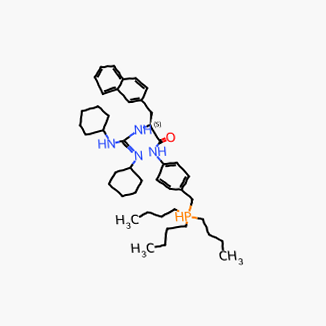 CCCC[PH](CCCC)(CCCC)Cc1ccc(NC(=O)[C@H](Cc2ccc3ccccc3c2)NC(=NC2CCCCC2)NC2CCCCC2)cc1